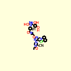 C=CC(=O)N1CCN(c2nc(OCC3CN(C(=O)c4ccc(-n5c(O)nnc5-c5cc(C(C)C)c(O)cc5O)cc4)C3)nc3c2CCN(c2cccc4cccc(Cl)c24)C3)C[C@@H]1CC#N